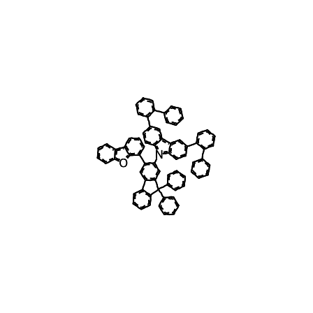 c1ccc(-c2ccccc2-c2ccc3c(c2)c2cc(-c4ccccc4-c4ccccc4)ccc2n3-c2cc3c(cc2-c2cccc4c2oc2ccccc24)-c2ccccc2C3(c2ccccc2)c2ccccc2)cc1